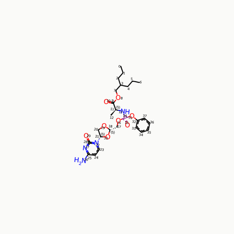 CCCC(CCC)COC(=O)[C@H](C)NP(=O)(OC[C@H]1OC[C@@H](n2ccc(N)nc2=O)O1)Oc1ccccc1